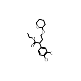 CCOC(=O)C(CCOC1CCCCO1)c1ccc(Cl)c(Cl)c1